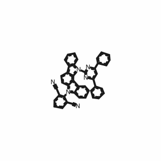 N#Cc1cccc(C#N)c1-n1c2ccccc2c2c1ccc1c3ccccc3n(-c3nc(-c4ccccc4)cc(-c4ccccc4)n3)c12